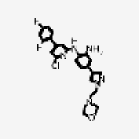 Nc1cc(-c2cnn(CCN3CCOCC3)c2)ccc1Nc1cc(-c2ccc(F)cc2F)cc(Cl)n1